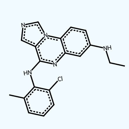 CCNc1ccc2c(c1)nc(Nc1c(C)cccc1Cl)c1cncn12